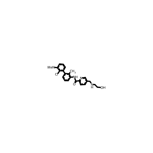 CNc1cccc(-c2cccc(NC(=O)c3ccc(CNCCO)cn3)c2C)c1Cl